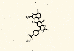 CC(C)(C)OC(=O)N1CCN(c2nc(Cl)nc3c(F)c(-c4ccc(F)c5sc(N)nc45)c(Cl)cc23)CC1